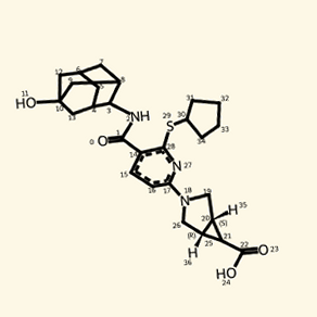 O=C(NC1C2CC3CC1CC(O)(C3)C2)c1ccc(N2C[C@@H]3C(C(=O)O)[C@@H]3C2)nc1SC1CCCC1